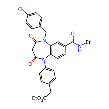 CCNC(=O)c1ccc2c(c1)N(Cc1ccc(Cl)cc1)C(=O)CC(=O)N2c1ccc(CC(=O)OCC)cc1